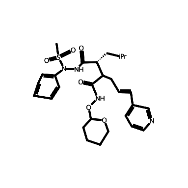 CC(C)C[C@@H](C(=O)NN(c1ccccc1)S(C)(=O)=O)C(CC=Cc1cccnc1)C(=O)NOC1CCCCO1